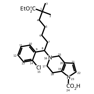 CCOC(=O)C(C)(C)CCCCC(c1ccccc1Cl)N1CCc2c(ccn2C(=O)O)C1